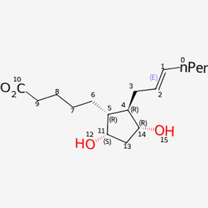 CCCCC/C=C/C[C@@H]1[C@@H](CCCCC(=O)O)[C@@H](O)C[C@H]1O